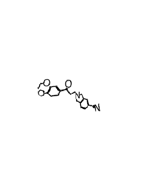 N#Cc1ccc2c(c1)CN(CCC(=O)c1ccc3c(c1)OCCO3)C2